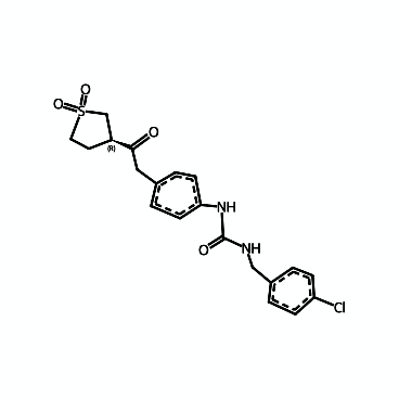 O=C(NCc1ccc(Cl)cc1)Nc1ccc(CC(=O)[C@H]2CCS(=O)(=O)C2)cc1